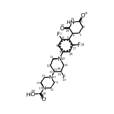 O=C1CCC(c2c(F)cc(N3CC[C@H](N4CCN(C(=O)O)CC4)[C@H](F)C3)cc2F)C(=O)N1